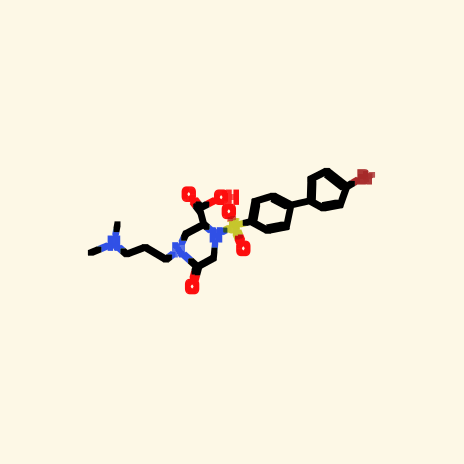 CN(C)CCCN1CC(C(=O)O)N(S(=O)(=O)c2ccc(-c3ccc(Br)cc3)cc2)CC1=O